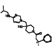 CC(C)CNC1=NCN(CC2(O)CCN(C(=O)C[C@@H](C)c3ccccc3)CC2)C=C1